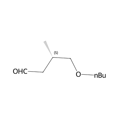 CCCCOC[C@@H](C)CC=O